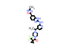 Cc1noc(-c2ccc3nc(Nc4cc(C(C)N5CCN(C(=O)C6(C(F)(F)F)CC6)CC5)ccn4)[nH]c3c2)n1